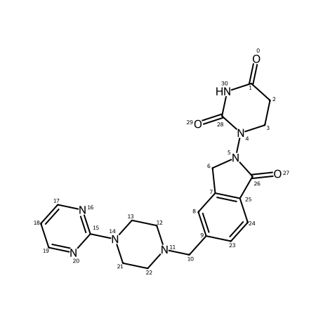 O=C1CCN(N2Cc3cc(CN4CCN(c5ncccn5)CC4)ccc3C2=O)C(=O)N1